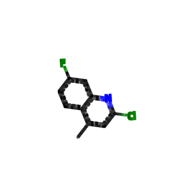 Cc1cc(Cl)nc2cc(F)ccc12